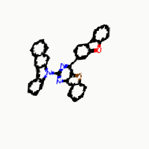 c1ccc2cc3c(cc2c1)c1ccccc1n3-c1nc(-c2ccc3c(c2)oc2ccccc23)c2sc3ccccc3c2n1